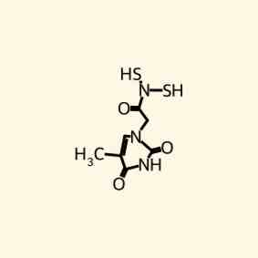 Cc1cn(CC(=O)N(S)S)c(=O)[nH]c1=O